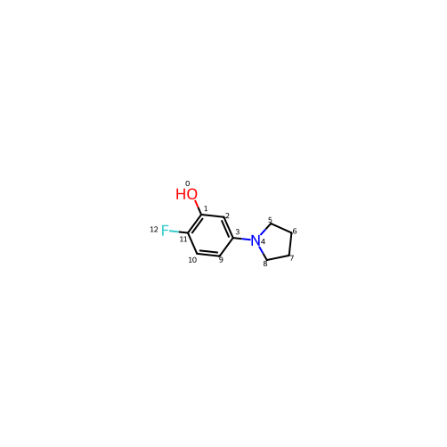 Oc1cc(N2CCCC2)ccc1F